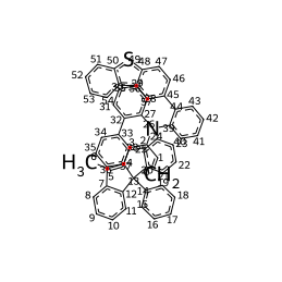 C=C/C(=C\C1=C(C)c2ccccc2C1(c1ccccc1)c1ccccc1)N(c1ccccc1-c1ccccc1)c1ccccc1-c1ccc2sc3ccccc3c2c1